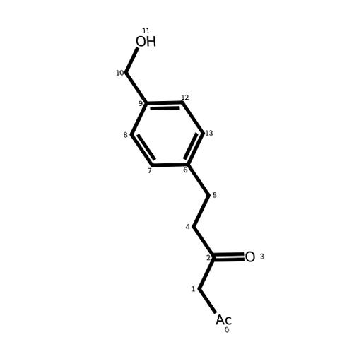 CC(=O)CC(=O)CCc1ccc(CO)cc1